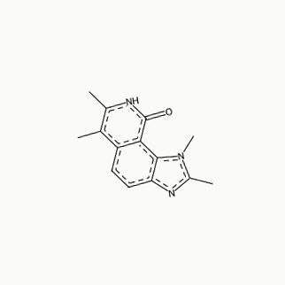 Cc1[nH]c(=O)c2c(ccc3nc(C)n(C)c32)c1C